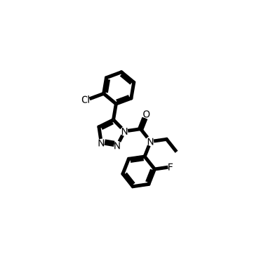 CCN(C(=O)n1nncc1-c1ccccc1Cl)c1ccccc1F